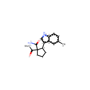 COC(=O)C1(C(N)=O)CCCC1c1c[nH]c2ccc(C#N)cc12